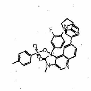 Cc1ccc(S(=O)(=O)O[N+]2(c3ccc(N4CCCC4=O)c(F)c3)C(=O)N(C)c3cnc4ccc(-c5cccnc5)cc4c32)cc1